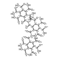 COC(=O)c1c(C(=O)O)c(C(=O)O)c(C(=O)O)c(C(=O)OC(=O)c2c(C(=O)O)c(C(=O)O)c(C(=O)O)c(C(=O)O)c2C(=O)O)c1C(=O)OC(=O)c1c(C(=O)O)c(C(=O)O)c(C(=O)O)c(C(=O)O)c1C(=O)O